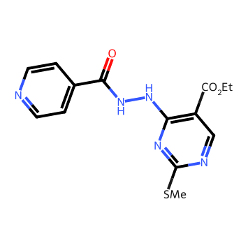 CCOC(=O)c1cnc(SC)nc1NNC(=O)c1ccncc1